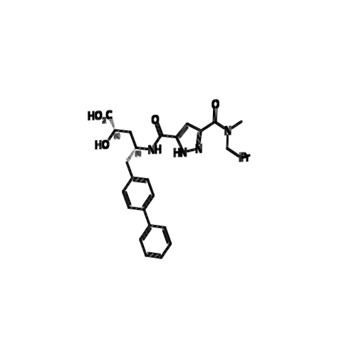 CC(C)CN(C)C(=O)c1cc(C(=O)N[C@H](Cc2ccc(-c3ccccc3)cc2)C[C@H](O)C(=O)O)[nH]n1